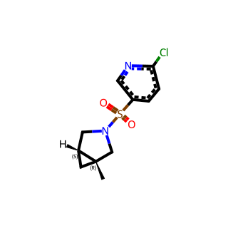 C[C@@]12C[C@@H]1CN(S(=O)(=O)c1ccc(Cl)nc1)C2